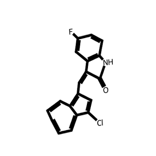 O=C1Nc2ccc(F)cc2C1=Cc1cc(Cl)c2cccccc1-2